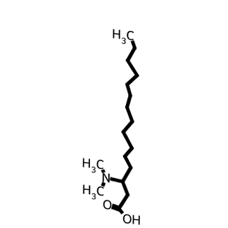 CCCCCCCCCCCCC(CC(=O)O)N(C)C